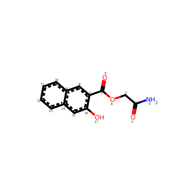 NC(=O)COC(=O)c1cc2ccccc2cc1O